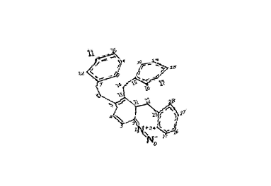 [N-]=[N+]=C1C=CC(Cc2ccccc2)=C(Cc2ccccc2)C1Cc1ccccc1